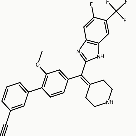 COc1cc(C(=C2CCNCC2)c2nc3cc(F)c(C(F)(F)F)cc3[nH]2)ccc1-c1cccc(C#N)c1